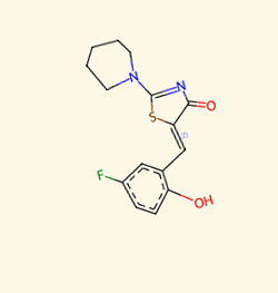 O=C1N=C(N2CCCCC2)S/C1=C\c1cc(F)ccc1O